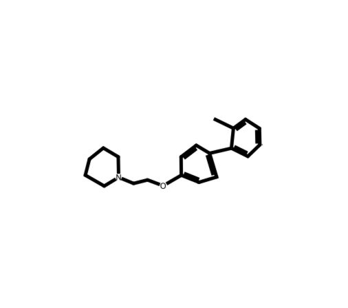 Cc1cc[c]cc1-c1ccc(OCCN2CCCCC2)cc1